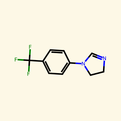 FC(F)(F)c1ccc(N2C=NCC2)cc1